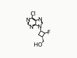 OC[C@H]1C[C@@H](n2cnc3c(Cl)ncnc32)C1F